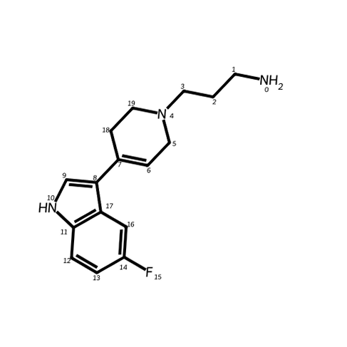 NCCCN1CC=C(c2c[nH]c3ccc(F)cc23)CC1